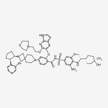 CC(C)c1ccccc1[C@H]1CCC[C@H]1N1CC2(CCN(c3ccc(C(=O)NS(=O)(=O)c4cc5c(c([N+](=O)[O-])c4)N[C@@H]([C@H]4CC[C@](C)(O)CC4)CO5)c(Oc4cc5cc[nH]c5nc4OCCN4CCOCC4)c3)CC2)C1